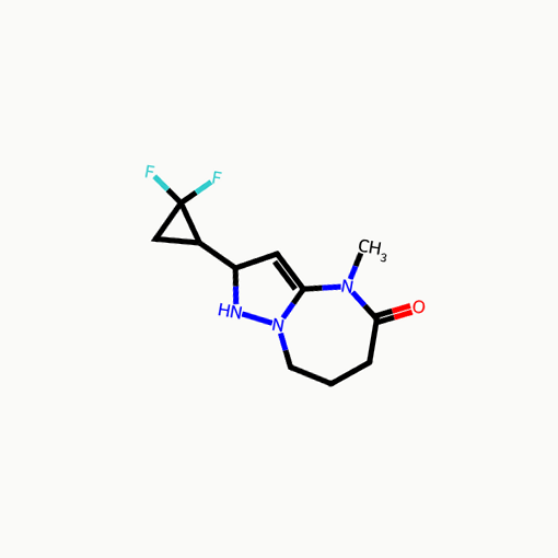 CN1C(=O)CCCN2NC(C3CC3(F)F)C=C21